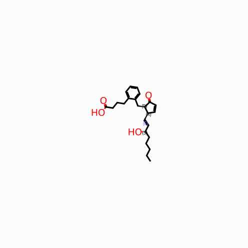 CCCCC[C@H](O)/C=C/[C@@H]1C=CC(=O)[C@@H]1Cc1ccccc1CCCC(=O)O